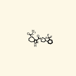 CC(=O)N1CCCc2[nH]nc(C(=O)N3CCC(c4ccccc4C(F)(F)F)CC3)c2C1